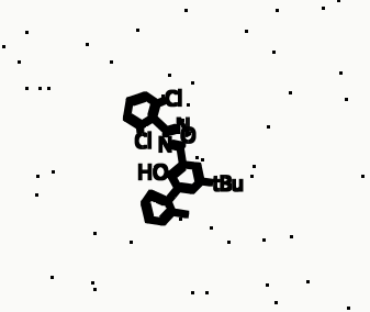 Cc1ccccc1-c1cc(C(C)(C)C)cc(-c2nc(-c3c(Cl)cccc3Cl)no2)c1O